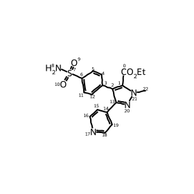 CCOC(=O)c1c(-c2ccc(S(N)(=O)=O)cc2)c(-c2ccncc2)nn1C